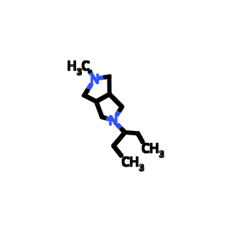 CCC(CC)N1CC2CN(C)CC2C1